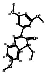 CCn1c(=O)c(-c2cc(OC)cc(OC)c2)cc2nnc(SC)nc21